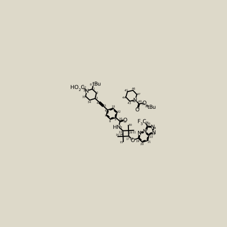 CC(C)(C)C1CC(C#Cc2ccc(C(=O)NC3C(C)(C)C(Oc4ccc5nnc(C(F)(F)F)n5n4)C3(C)C)cc2)CCN1C(=O)O.CC(C)(C)OC(=O)N1CCCCC1